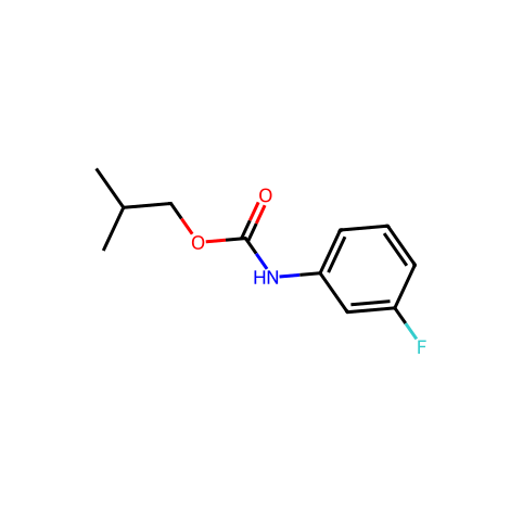 CC(C)COC(=O)Nc1cccc(F)c1